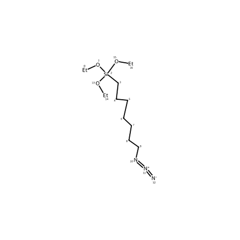 CCO[Si](CCCCCCCN=[N+]=[N-])(OCC)OCC